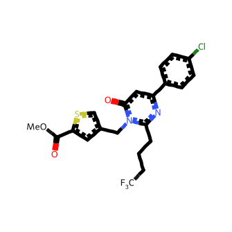 COC(=O)c1cc(Cn2c(CCCC(F)(F)F)nc(-c3ccc(Cl)cc3)cc2=O)cs1